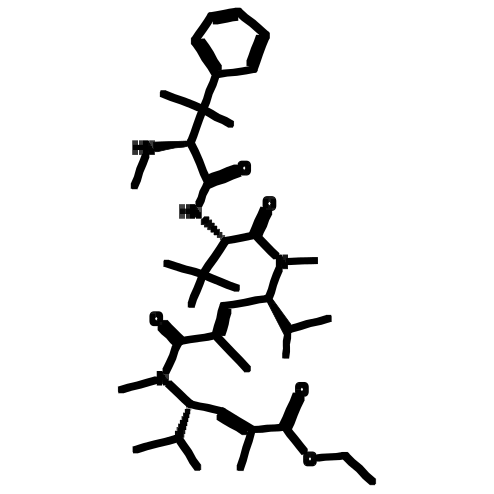 CCOC(=O)/C(C)=C/[C@H](C(C)C)N(C)C(=O)/C(C)=C/[C@H](C(C)C)N(C)C(=O)[C@@H](NC(=O)[C@@H](NC)C(C)(C)c1ccccc1)C(C)(C)C